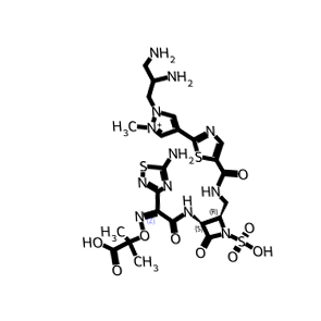 C[n+]1cc(-c2ncc(C(=O)NC[C@@H]3[C@H](NC(=O)/C(=N\OC(C)(C)C(=O)O)c4nsc(N)n4)C(=O)N3S(=O)(=O)O)s2)cn1CC(N)CN